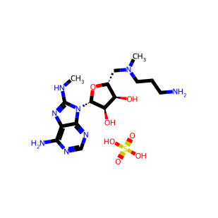 CNc1nc2c(N)ncnc2n1[C@@H]1O[C@H](CN(C)CCCN)[C@@H](O)[C@H]1O.O=S(=O)(O)O